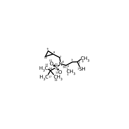 CC(S)C[C@H](C)N(CC1CC1)S(=O)(=O)C(C)(C)C